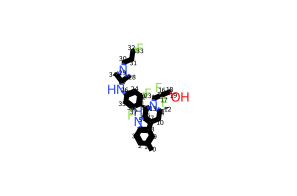 Cc1ccc2[nH]c3c(c2c1)C[C@@H](C)N(CC(F)(F)CO)[C@@H]3c1c(F)cc(NC2CN(CCCF)C2)cc1F